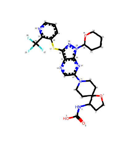 O=C(O)NC1CCOC12CCN(c1cnc3c(Sc4cccnc4C(F)(F)F)nn(C4CCCCO4)c3n1)CC2